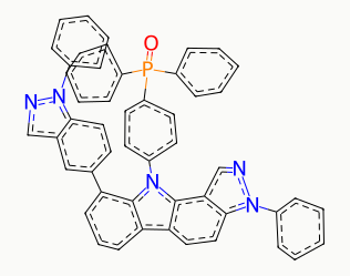 O=P(c1ccccc1)(c1ccccc1)c1ccc(-n2c3c(-c4ccc5c(cnn5-c5ccccc5)c4)cccc3c3ccc4c(cnn4-c4ccccc4)c32)cc1